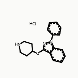 Cl.c1ccc(-n2nc(OC3CCNCC3)c3ccccc32)cc1